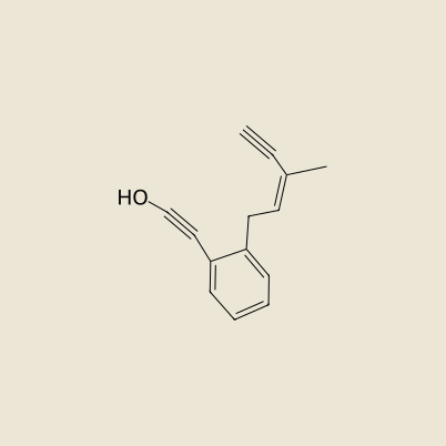 C#CC(C)=CCc1ccccc1C#CO